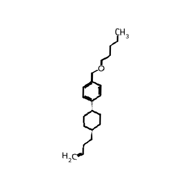 C=CCC[C@H]1CC[C@H](c2ccc(COCCCCC)cc2)CC1